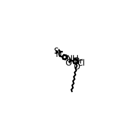 Br.CCCCCCCCCCCCOc1cc(C(=O)Nc2ccc(CN3CSC=C3C)cc2)ccc1Cl